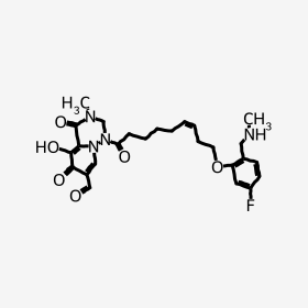 CNCc1ccc(F)cc1OCC/C=C\CCCCC(=O)N1CN(C)C(=O)c2c(O)c(=O)c(C=O)cn21